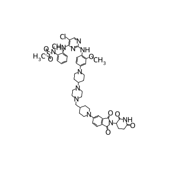 COc1cc(N2CCC(N3CCN(CC4CCN(c5ccc6c(c5)C(=O)N(C5CCC(=O)NC5=O)C6=O)CC4)CC3)CC2)ccc1Nc1ncc(Cl)c(Nc2ccccc2N(C)S(C)(=O)=O)n1